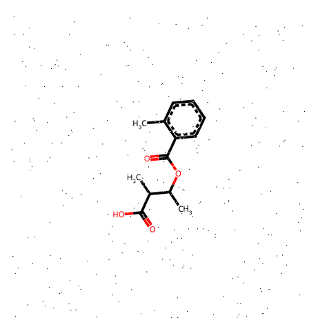 Cc1ccccc1C(=O)OC(C)C(C)C(=O)O